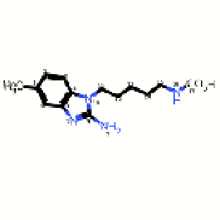 Cc1ccc2c(c1)nc(N)n2CCCCCNC(=O)O